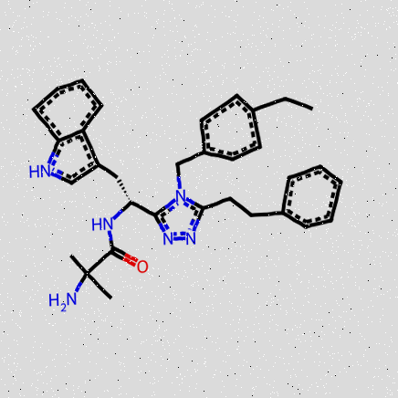 CCc1ccc(Cn2c(CCc3ccccc3)nnc2[C@@H](Cc2c[nH]c3ccccc23)NC(=O)C(C)(C)N)cc1